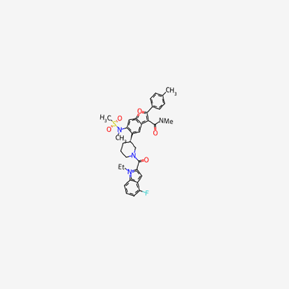 CCn1c(C(=O)N2CCC[C@@H](c3cc4c(C(=O)NC)c(-c5ccc(C)cc5)oc4cc3N(C)S(C)(=O)=O)C2)cc2c(F)cccc21